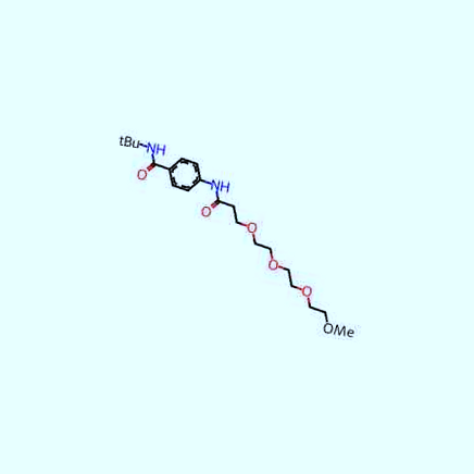 COCCOCCOCCOCCC(=O)Nc1ccc(C(=O)NC(C)(C)C)cc1